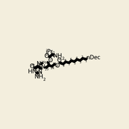 CCCCCCCCCCCCCCCCCCCC(=O)OCCC(COC(=O)[C@@H](N)C(C)C)Cn1cnc2c(=O)[nH]c(N)nc21